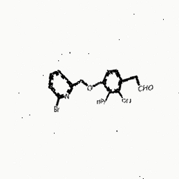 CCCc1c(OCc2cccc(Br)n2)ccc(CC=O)c1O